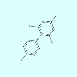 Cc1cc(F)c(-c2ccc(F)nc2)c(F)c1